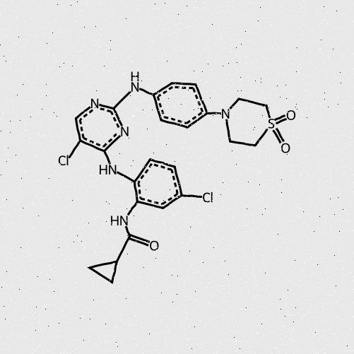 O=C(Nc1cc(Cl)ccc1Nc1nc(Nc2ccc(N3CCS(=O)(=O)CC3)cc2)ncc1Cl)C1CC1